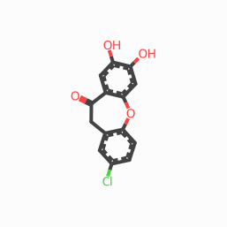 O=C1Cc2cc(Cl)ccc2Oc2cc(O)c(O)cc21